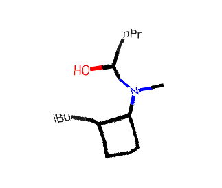 CCCC(O)N(C)C1CCC1C(C)CC